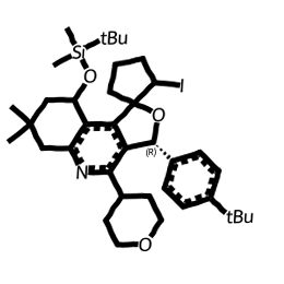 CC1(C)Cc2nc(C3CCOCC3)c3c(c2C(O[Si](C)(C)C(C)(C)C)C1)C1(CCCC1I)O[C@@H]3c1ccc(C(C)(C)C)cc1